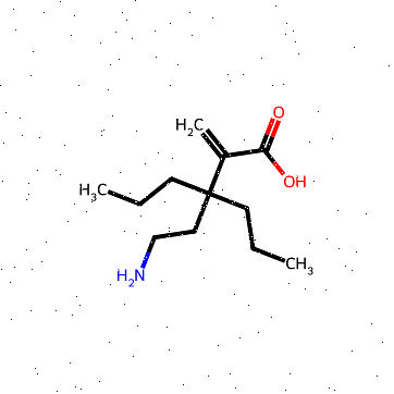 C=C(C(=O)O)C(CCC)(CCC)CCN